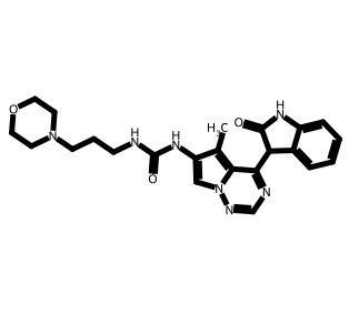 Cc1c(NC(=O)NCCCN2CCOCC2)cn2ncnc(C3C(=O)Nc4ccccc43)c12